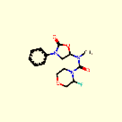 CN(C(=O)N1CCOCC1F)C1CN(c2ccccc2)C(=O)O1